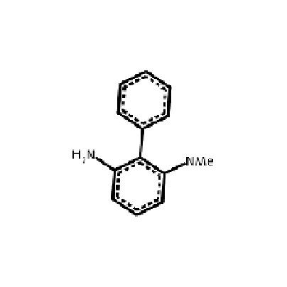 CNc1cccc(N)c1-c1ccccc1